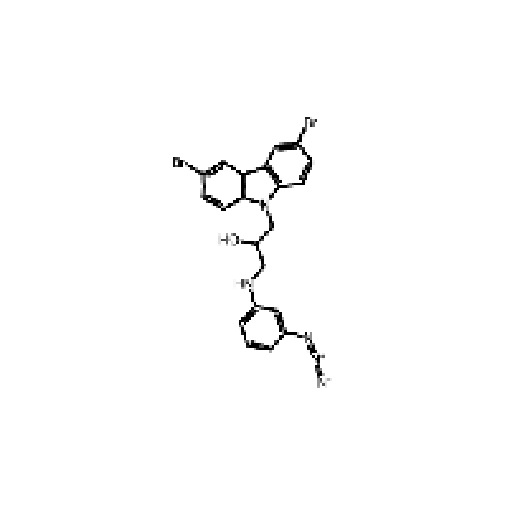 [N-]=[N+]=Nc1cccc(NCC(O)CN2c3ccc(Br)cc3C3C=C(Br)C=CC32)c1